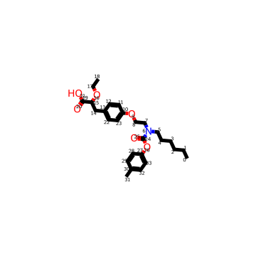 CCCCCCN(CCOc1ccc(CC(OCC)C(=O)O)cc1)C(=O)Oc1ccc(C)cc1